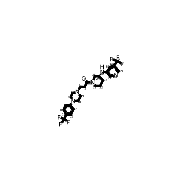 O=C(CCN1CCN(c2ccc(C(F)(F)F)cc2)CC1)N1CCC[C@H](Nc2cncc(C(F)(F)F)c2)C1